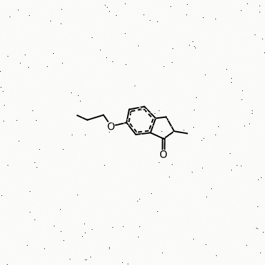 CCCOc1ccc2c(c1)C(=O)C(C)C2